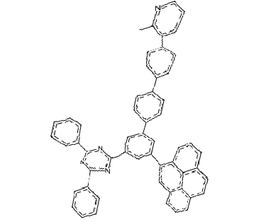 Cc1ncccc1-c1ccc(-c2ccc(-c3cc(-c4nc(-c5ccccc5)nc(-c5ccccc5)n4)cc(-c4cc5cccc6ccc7cccc4c7c65)c3)cc2)cc1